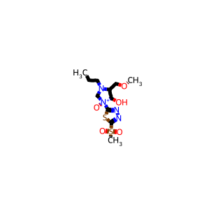 CCCN1C[N+]([O-])(c2nnc(S(C)(=O)=O)s2)C(O)C1COC